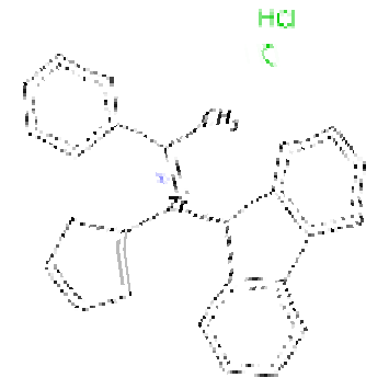 C/[C](c1ccccc1)=[Zr](/[C]1=CC=CC1)[CH]1c2ccccc2-c2ccccc21.Cl.Cl